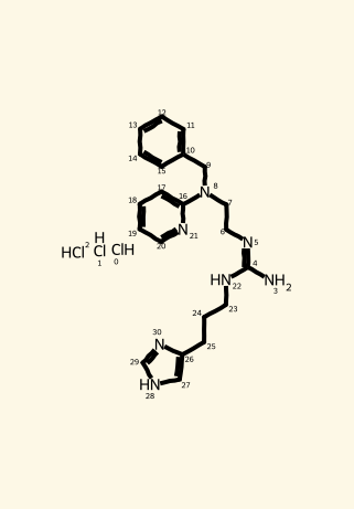 Cl.Cl.Cl.NC(=NCCN(Cc1ccccc1)c1ccccn1)NCCCc1c[nH]cn1